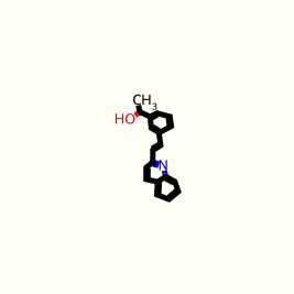 CC(O)c1cccc(C=Cc2ccc3ccccc3n2)c1